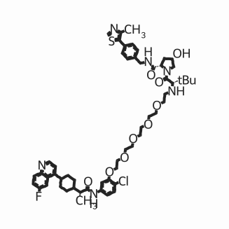 Cc1ncsc1-c1ccc(CNC(=O)[C@@H]2C[C@@H](O)CN2C(=O)[C@@H](NCCOCCOCCOCCOCCOc2cc(NC(=O)[C@H](C)C3CCC(c4ccnc5ccc(F)cc45)CC3)ccc2Cl)C(C)(C)C)cc1